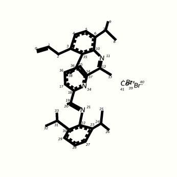 C=CCc1ccc(C(C)C)c(N=C(C)c2cccc(C(C)=Nc3c(C(C)C)cccc3C(C)C)n2)c1C(C)C.[Br-].[Br-].[Co+2]